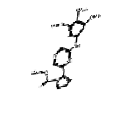 COc1cc(Nc2cncc(-c3cccn3C(=O)OC(C)(C)C)n2)cc(OC)c1OC